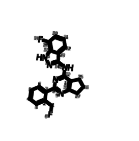 FCc1ccccc1-c1nc2c(c(Nc3n[nH]c4c(F)cccc34)n1)CCC2